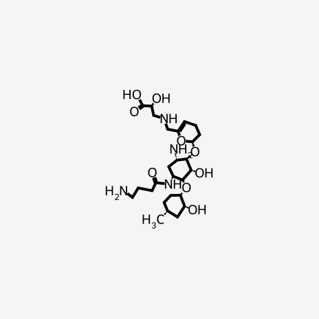 C[C@@H]1CC[C@H](O[C@@H]2[C@@H](O)[C@H](O[C@@H]3CCC=C(CNC[C@H](O)C(=O)O)O3)[C@@H](N)C[C@H]2NC(=O)CCCN)[C@H](O)C1